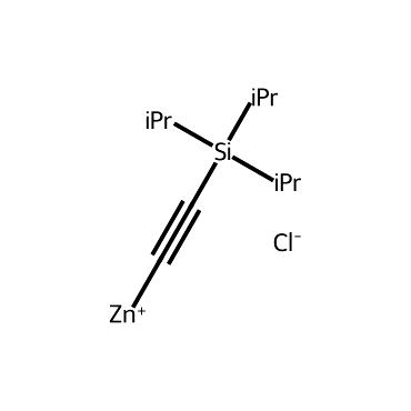 CC(C)[Si](C#[C][Zn+])(C(C)C)C(C)C.[Cl-]